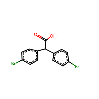 O=C(O)C(c1ccc(Br)cc1)c1ccc(Br)cc1